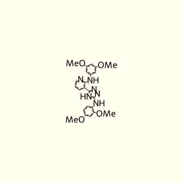 COc1cc(Nc2ncccc2-c2nnc(Nc3ccc(OC)cc3OC)[nH]2)cc(OC)c1